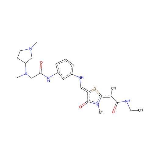 CCn1c(=C(C#N)C(=O)NCC#N)sc(=CNc2cccc(NC(=O)CN(C)C3CCN(C)C3)c2)c1=O